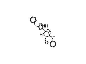 CN1C(=O)[C@@H](NC(=O)c2cc(Cc3ccccc3)n[nH]2)COc2ccccc21